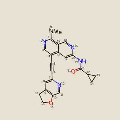 CNc1ncc(C#Cc2cc3c(cn2)OCC3)c2cc(NC(=O)C3CC3)ncc12